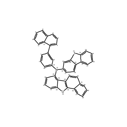 c1cc(-c2cccc3ccccc23)cc(N(c2ccc3c(c2)sc2ccccc23)c2cccc3oc4c5ccccc5ccc4c23)c1